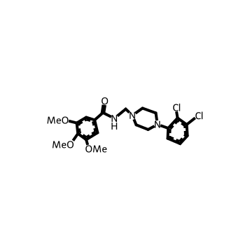 COc1cc(C(=O)NCN2CCN(c3cccc(Cl)c3Cl)CC2)cc(OC)c1OC